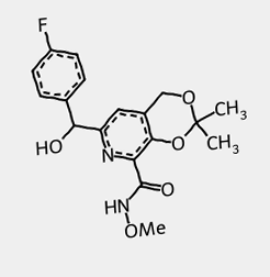 CONC(=O)c1nc(C(O)c2ccc(F)cc2)cc2c1OC(C)(C)OC2